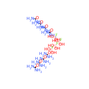 NC(N)=O.NC(N)=O.NC(N)=O.NC(N)=O.NC(N)=O.NC(N)=O.NC(N)=O.NC(N)=O.OB(O)F.OB(O)F.OB(O)F.OB(O)F